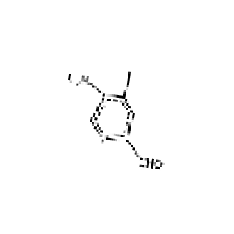 Cc1cc([C]=O)ncc1[N+](=O)[O-]